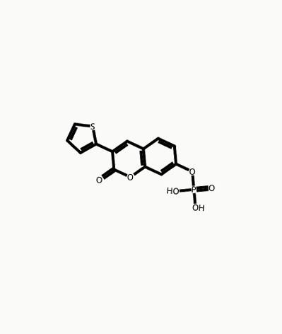 O=c1oc2cc(OP(=O)(O)O)ccc2cc1-c1cccs1